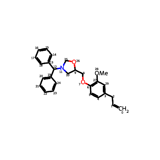 C=CCc1ccc(OCC2CN(C(c3ccccc3)c3ccccc3)CO2)c(OC)c1